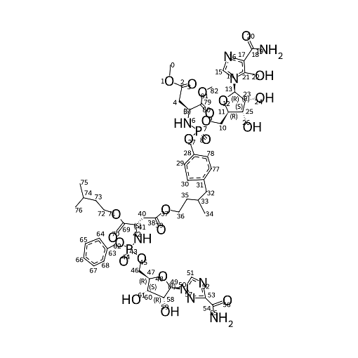 COC(=O)C[C@H](NP(=O)(OC[C@H]1O[C@@H](n2cnc(C(N)=O)c2O)[C@H](O)[C@@H]1O)Oc1ccc(CC(C)CCOC(=O)C[C@H](NP(=O)(OC[C@H]2O[C@@H](n3cnc(C(N)=O)n3)[C@H](O)[C@@H]2O)Oc2ccccc2)C(=O)OCCC(C)C)cc1)C(=O)OC